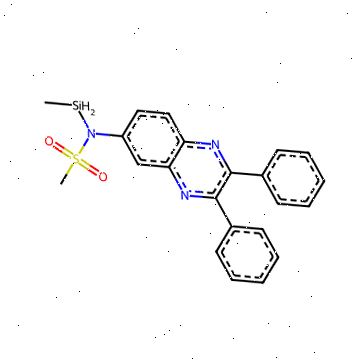 C[SiH2]N(c1ccc2nc(-c3ccccc3)c(-c3ccccc3)nc2c1)S(C)(=O)=O